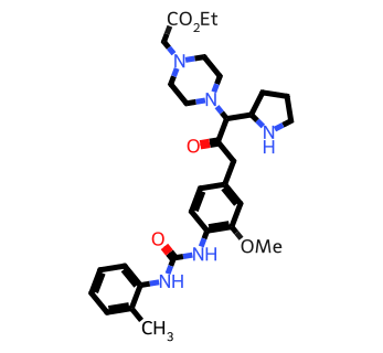 CCOC(=O)CN1CCN(C(C(=O)Cc2ccc(NC(=O)Nc3ccccc3C)c(OC)c2)C2CCCN2)CC1